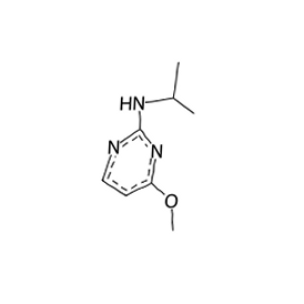 COc1ccnc(NC(C)C)n1